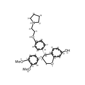 COc1ccc([C@H]2COc3cc(O)ccc3[C@H]2c2ccc(OCCN3CCCC3)cc2)cc1OC